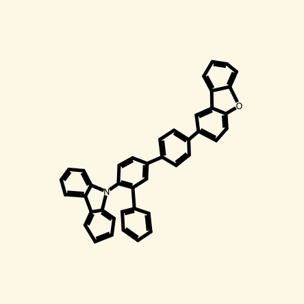 c1ccc(-c2cc(-c3ccc(-c4ccc5oc6ccccc6c5c4)cc3)ccc2-n2c3ccccc3c3ccccc32)cc1